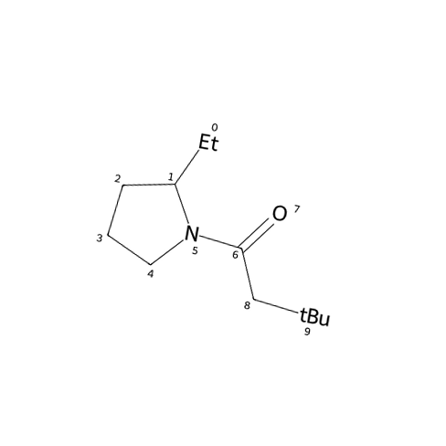 CCC1CCCN1C(=O)CC(C)(C)C